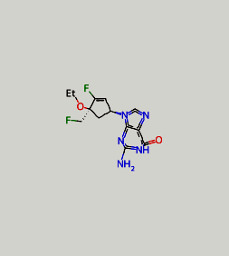 CCO[C@]1(CF)C[C@H](n2cnc3c(=O)[nH]c(N)nc32)C=C1F